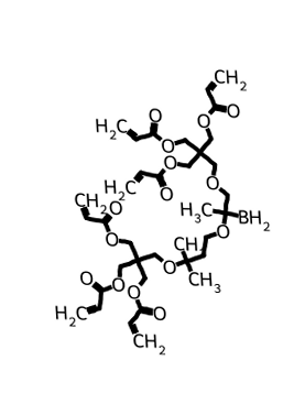 BC(C)(COCC(COC(=O)C=C)(COC(=O)C=C)COC(=O)C=C)OCCC(C)(C)OCC(COC(=O)C=C)(COC(=O)C=C)COC(=O)C=C